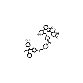 CCC(=C(c1ccc(O)cc1)c1ccc(OCCN2CCN(C(=O)N3CCC(CC4CNCCN4c4cccc5c4CN(C4CCC(=O)NC4=O)C5=O)CC3)CC2)cc1)c1ccccc1